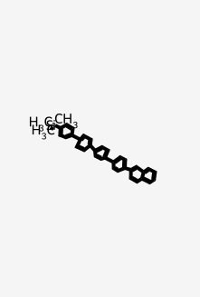 C[Si](C)(C)c1ccc(-c2ccc(-c3ccc(-c4ccc(-c5ccc6ccccc6c5)cc4)cc3)cc2)cc1